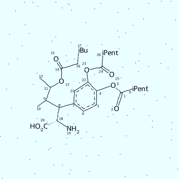 CCCC(C)C(=O)Oc1ccc(C(C(C)C(C)OC(=O)CC(C)CC)[C@H](N)C(=O)O)cc1OC(=O)C(C)CCC